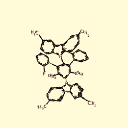 Cc1ccc2c(c1)c1cc(C)ccc1n2-c1c(-c2ccccc2F)c(C(C)(C)C)c(-n2c3ccc(C)cc3c3cc(C)ccc32)c(C(C)(C)C)c1-c1ccccc1F